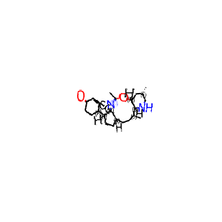 C/C1=N/[C@@]23CCC4=CC(=O)CC[C@]4(C)[C@H]2CC[C@H]3CC[C@H](C)[C@@H]2NC[C@@H](C)C[C@H]2O1